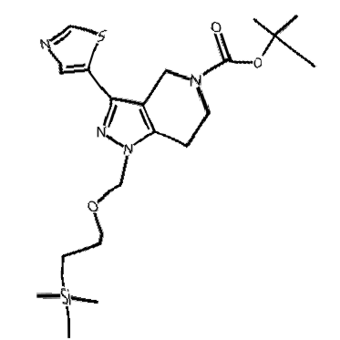 CC(C)(C)OC(=O)N1CCc2c(c(-c3cncs3)nn2COCC[Si](C)(C)C)C1